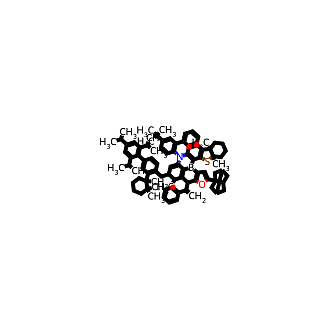 C=C(c1ccccc1)C1C2=C3B(c4cc(C56CC7CC5CC7C6)oc41)c1c(ccc4c1SC1(C)CCCCC41C)N(c1ccc(C(C)(C)C)cc1-c1ccccc1)C3=CC(Cc1ccc(-c3c(C(C)C)cc(C(C)C)cc3C(C)C)cc1C1(C)CCCCC1(C)C)C2C